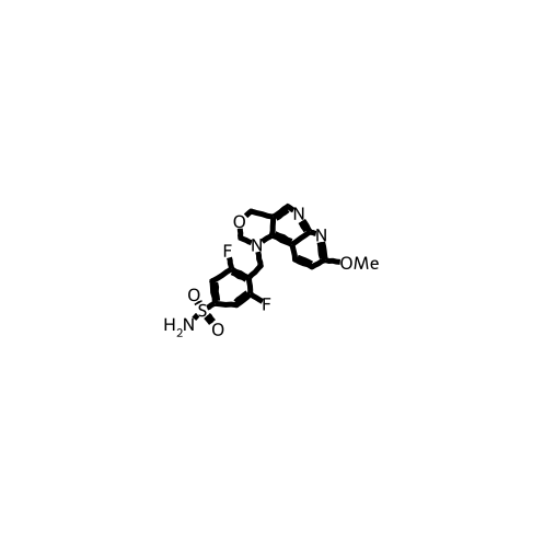 COc1ccc2c3c(cnc2n1)COCN3Cc1c(F)cc(S(N)(=O)=O)cc1F